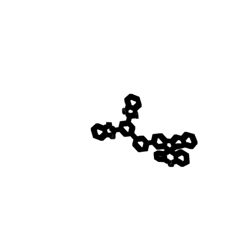 c1cc(-c2cc(-c3nc4ccccc4o3)cc(-c3nc4ccccc4o3)c2)cc(-c2ccc3c(c2)C2(c4ccccc4Oc4ccccc42)c2cc4ccccc4cc2-3)c1